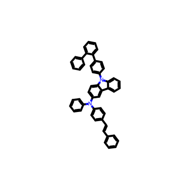 C(=C\c1ccc(N(c2ccccc2)c2ccc3c(c2)c2ccccc2n3-c2ccc(-c3ccccc3-c3ccccc3)cc2)cc1)/c1ccccc1